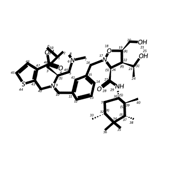 CC(C)C[C@@H](CN(C)C)N(Cc1cccc(CN2O[C@@H](CO)[C@@H]([C@H](C)O)[C@H]2C(=O)N[C@H]2C[C@@H](C)C(C)(C)[C@@H](C)[C@@H]2C)c1)Cc1sccc1C(=O)O